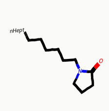 CCCCCCCCCCCCCN1CCCC1=O